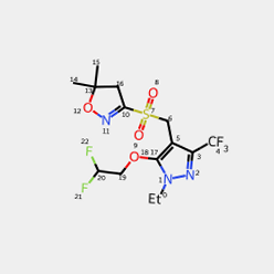 CCn1nc(C(F)(F)F)c(CS(=O)(=O)C2=NOC(C)(C)C2)c1OCC(F)F